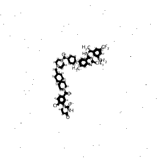 Cc1nc(N[C@H](C)c2cc(N)cc(C(F)(F)F)c2)c2cc([C@H]3CC[C@H](C(=O)N4CCN(CC5CCC6(CC5)CCN(C(=O)c5ccc(Cl)c(N7CCC(=O)NC7=O)c5)CC6)CC4)CC3)c(C)cc2n1